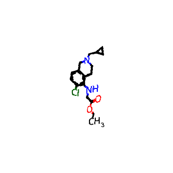 CCOC(=O)CNc1c(Cl)ccc2c1CCN(CC1CC1)C2